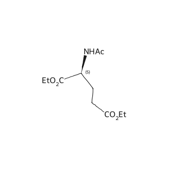 CCOC(=O)CC[C@H](NC(C)=O)C(=O)OCC